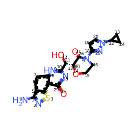 Nc1nsc2c1ccc1[nH]c(C(O)[C@H]3OCCN(c4ccn(C5CC5)n4)C3=O)nc(=O)c12